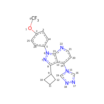 FC(F)(F)Oc1ccc(-n2nc(C3CCC3)c3c(-n4cnnc4)ccnc32)cc1